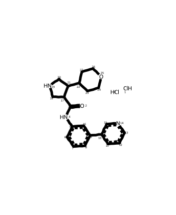 Cl.Cl.O=C(Nc1cccc(-c2cccnc2)c1)C1CNCC1C1CCOCC1